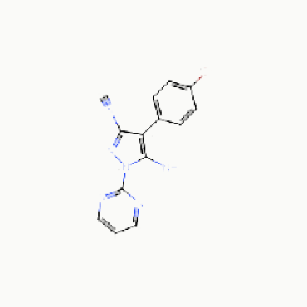 [C-]#[N+]c1nn(-c2ncccn2)c(N)c1-c1ccc(Br)cc1